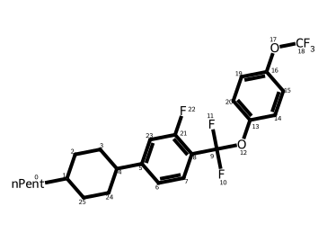 CCCCCC1CCC(c2ccc(C(F)(F)Oc3ccc(OC(F)(F)F)cc3)c(F)c2)CC1